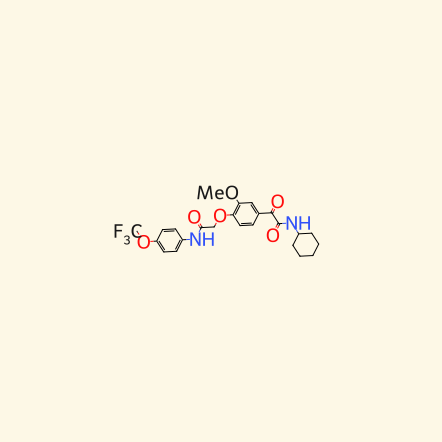 COc1cc(C(=O)C(=O)NC2CCCCC2)ccc1OCC(=O)Nc1ccc(OC(F)(F)F)cc1